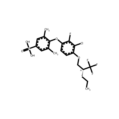 CCC[C@H](COc1ccc(Oc2c(C)cc(P(=O)(O)O)cc2C)c(F)c1Cl)C(F)(F)F